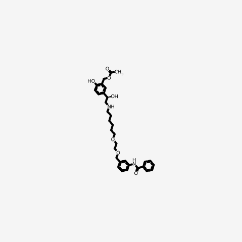 CC(=O)OCc1cc([C@@H](O)CNCCCCCCOCCOCc2cccc(NC(=O)c3ccccc3)c2)ccc1O